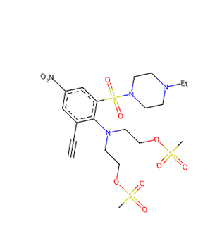 C#Cc1cc([N+](=O)[O-])cc(S(=O)(=O)N2CCN(CC)CC2)c1N(CCOS(C)(=O)=O)CCOS(C)(=O)=O